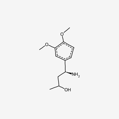 COc1ccc([C@@H](N)CC(C)O)cc1OC